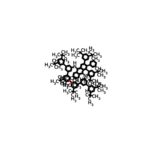 CC(C)(C)c1cc(-c2cc(Nc3c4ccccc4c(Nc4cc(-c5cc(C(C)(C)C)cc(C(C)(C)C)c5)cc(-c5cc(C(C)(C)C)cc(C(C)(C)C)c5)c4)c4c(-c5cc(C(C)(C)C)cc(C(C)(C)C)c5)c(-c5ccccc5)c(-c5cc(C(C)(C)C)cc(C(C)(C)C)c5)cc34)cc(-c3cc(C(C)(C)C)cc(C(C)(C)C)c3)c2)cc(C(C)(C)C)c1